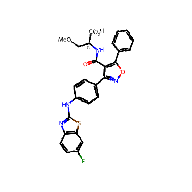 COC[C@H](NC(=O)c1c(-c2ccc(Nc3nc4ccc(F)cc4s3)cc2)noc1-c1ccccc1)C(=O)O